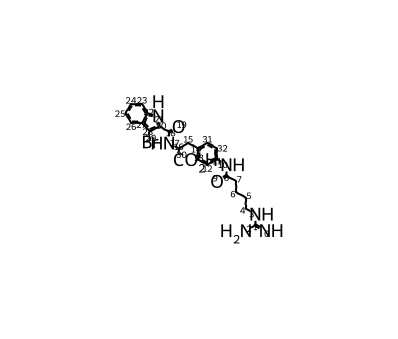 N=C(N)NCCCCC(=O)Nc1ccc(CC(NC(=O)c2[nH]c3ccccc3c2Br)C(=O)O)cc1